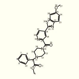 COC(=O)C(c1ccccc1)N1CCN(C(=O)c2cc(-c3nc4ccc(OC)cc4s3)ccn2)CC1